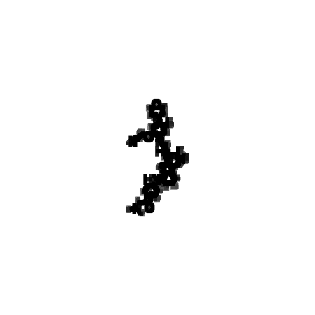 CN(C)CC(=O)N1CCC(Nc2cccc3c(CC(F)(F)F)c(C#CCNc4cc(F)c(N5CCOCC5)cc4OCC#N)sc23)CC1